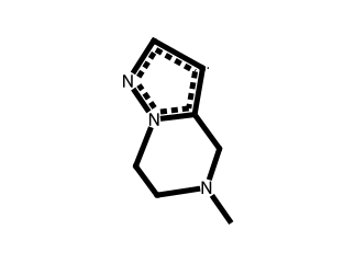 CN1CCn2nc[c]c2C1